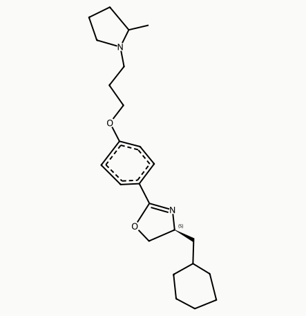 CC1CCCN1CCCOc1ccc(C2=N[C@@H](CC3CCCCC3)CO2)cc1